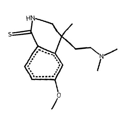 COc1ccc2c(c1)C(C)(CCN(C)C)CNC2=S